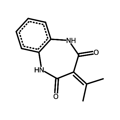 CC(C)=C1C(=O)Nc2ccccc2NC1=O